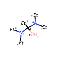 BC(CC)(N(CC)CC)N(CC)CC